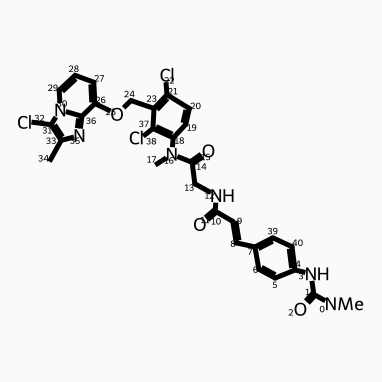 CNC(=O)Nc1ccc(C=CC(=O)NCC(=O)N(C)c2ccc(Cl)c(COc3cccn4c(Cl)c(C)nc34)c2Cl)cc1